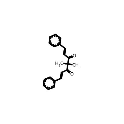 CC(C)(C(=O)C=Cc1ccccc1)C(=O)C=Cc1ccccc1